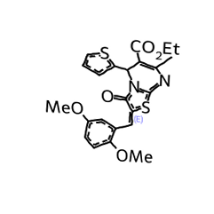 CCOC(=O)C1=C(C)N=c2s/c(=C/c3cc(OC)ccc3OC)c(=O)n2C1c1cccs1